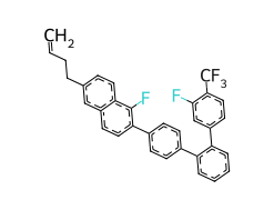 C=CCCc1ccc2c(F)c(-c3ccc(-c4ccccc4-c4ccc(C(F)(F)F)c(F)c4)cc3)ccc2c1